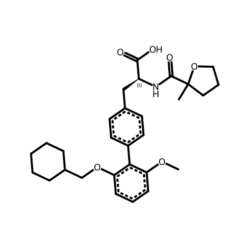 COc1cccc(OCC2CCCCC2)c1-c1ccc(C[C@H](NC(=O)C2(C)CCCO2)C(=O)O)cc1